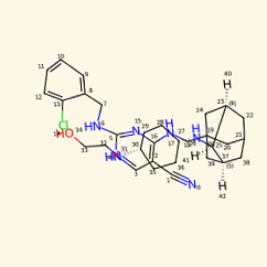 N#Cc1cnc(NCc2ccccc2Cl)nc1NCC12CC3C[C@H](C1)[C@H](N[C@H]1CC[C@@H](NCCO)CC1)[C@@H](C3)C2